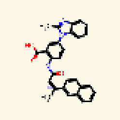 C/C(=C/C(=O)Nc1ccc(-n2c(C)nc3ccccc32)cc1C(=O)O)c1ccc2ccccc2c1